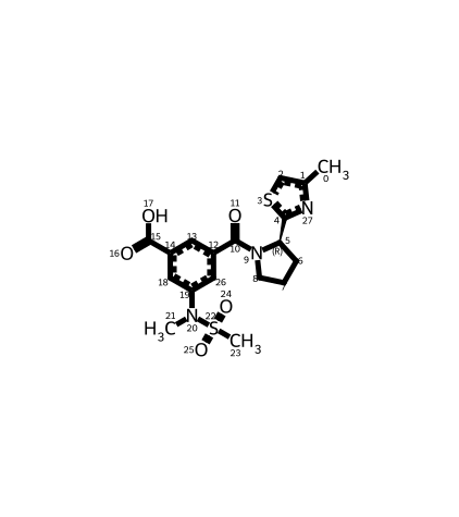 Cc1csc([C@H]2CCCN2C(=O)c2cc(C(=O)O)cc(N(C)S(C)(=O)=O)c2)n1